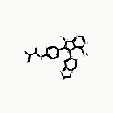 C=C(C)C(=O)Nc1ccc(-c2c(-c3ccn4ccnc4c3)c3c(N)ncnc3n2C)cc1